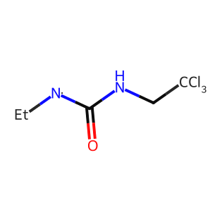 CC[N]C(=O)NCC(Cl)(Cl)Cl